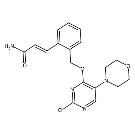 NC(=O)C=Cc1ccccc1COc1nc(Cl)ncc1N1CCOCC1